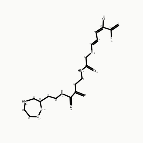 C=C(CCNC(=O)CO/C=C/C=C(/Cl)C(=C)F)C(=O)NCCC1CNCCOS1